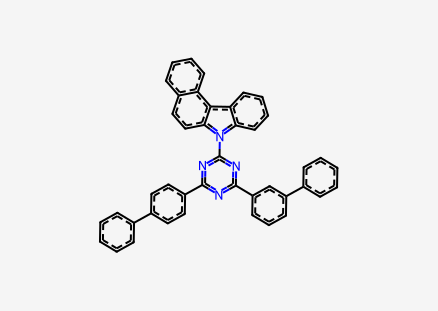 c1ccc(-c2ccc(-c3nc(-c4cccc(-c5ccccc5)c4)nc(-n4c5ccccc5c5c6ccccc6ccc54)n3)cc2)cc1